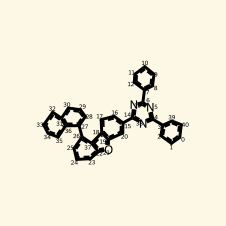 c1ccc(-c2nc(-c3ccccc3)nc(-c3ccc4c(c3)oc3cccc(-c5cccc6ccccc56)c34)n2)cc1